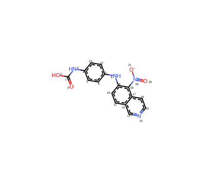 O=C(O)Nc1ccc(Nc2ccc3cnccc3c2[N+](=O)[O-])cc1